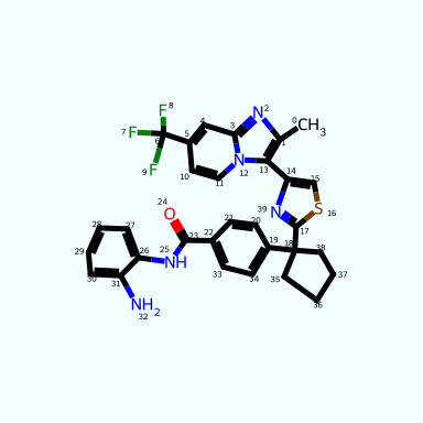 Cc1nc2cc(C(F)(F)F)ccn2c1-c1csc(C2(c3ccc(C(=O)Nc4ccccc4N)cc3)CCCC2)n1